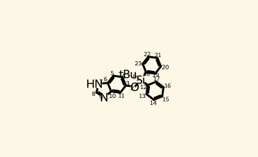 CC(C)(C)[Si](Oc1ccc2[nH]cnc2c1)(c1ccccc1)c1ccccc1